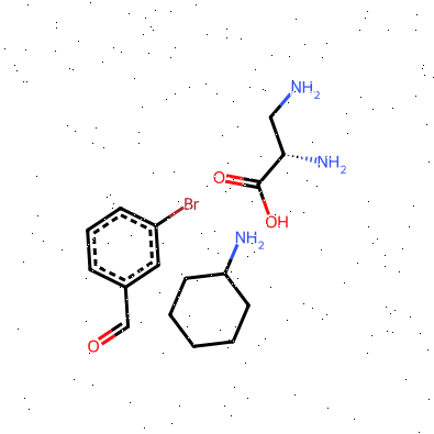 NC1CCCCC1.NC[C@H](N)C(=O)O.O=Cc1cccc(Br)c1